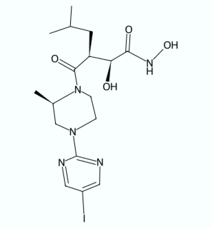 CC(C)C[C@H](C(=O)N1CCN(c2ncc(I)cn2)C[C@H]1C)[C@H](O)C(=O)NO